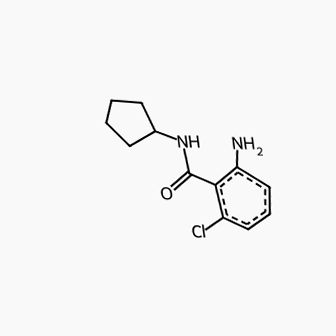 Nc1cccc(Cl)c1C(=O)NC1CCCC1